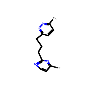 CCc1ccnc(CCCc2ccc(C#N)nn2)n1